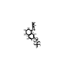 CC(C)(C)[Si](C)(C)Oc1ccc2c(c1)C(N=[N+]=[N-])CCC2